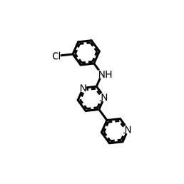 Clc1cccc(Nc2nccc(-c3cccnc3)n2)c1